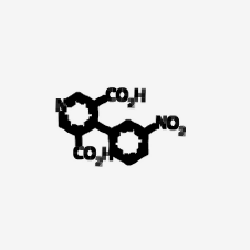 O=C(O)c1cncc(C(=O)O)c1-c1cccc([N+](=O)[O-])c1